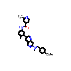 COc1ccc(CN(C)c2cc3ncc(-c4cc(NC(=O)c5ccnc(C(F)(F)F)c5)ccc4C)cc3cn2)cc1